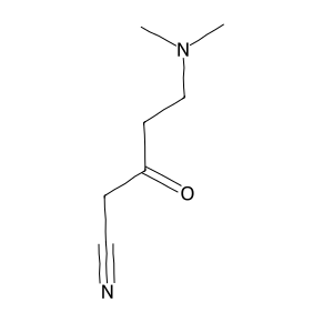 CN(C)CCC(=O)CC#N